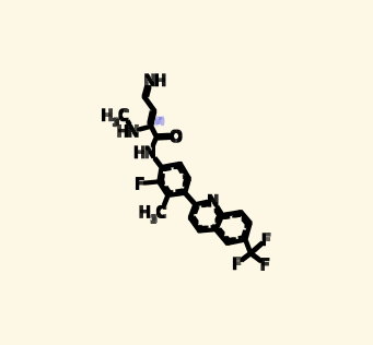 CN/C(=C\C=N)C(=O)Nc1ccc(-c2ccc3cc(C(F)(F)F)ccc3n2)c(C)c1F